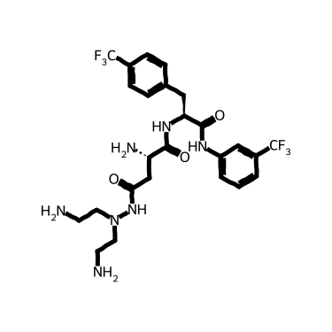 NCCN(CCN)NC(=O)C[C@H](N)C(=O)N[C@@H](Cc1ccc(C(F)(F)F)cc1)C(=O)Nc1cccc(C(F)(F)F)c1